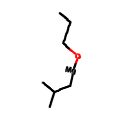 CCC[O][Mg][CH2]C(C)C